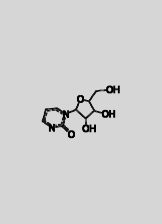 O=c1ncccn1C1OC(CO)C(O)C1O